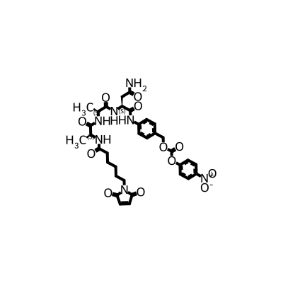 C[C@H](NC(=O)CCCCCN1C(=O)C=CC1=O)C(=O)N[C@@H](C)C(=O)N[C@@H](CC(N)=O)C(=O)Nc1ccc(COC(=O)Oc2ccc([N+](=O)[O-])cc2)cc1